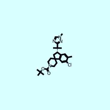 Cc1cc2c(cc1Cl)C1(CCN(C(=O)OC(C)(C)C)CC1)C[C@@H]2C(C)(C)c1ncn(C)n1